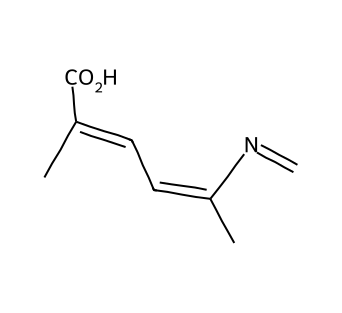 C=N/C(C)=C\C=C(/C)C(=O)O